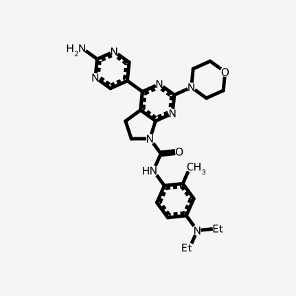 CCN(CC)c1ccc(NC(=O)N2CCc3c(-c4cnc(N)nc4)nc(N4CCOCC4)nc32)c(C)c1